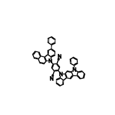 N#Cc1cc(-n2c3ccc(-c4ccccc4)cc3c3c4ccccc4ccc32)c(C#N)cc1-n1c2ccccc2c2cc3c4ccccc4n(-c4ccccc4)c3cc21